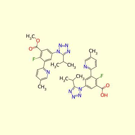 COC(=O)c1cc(-n2nnnc2C(C)C)cc(-c2ccc(C)cn2)c1F.Cc1ccc(-c2cc(-n3nnnc3C(C)C)cc(C(=O)O)c2F)nc1